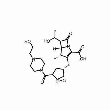 C[C@@H](O)[C@H]1C(=O)N2C(C(=O)O)=C(S[C@@H]3CN[C@@H](C(=O)N4CCN(CCO)CC4)C3)[C@H](C)[C@H]12.Cl